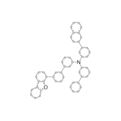 c1ccc(-c2cccc(N(c3cccc(-c4cccc(-c5cccc6c5oc5ccccc56)c4)c3)c3cccc(-c4ccc5ccccc5c4)c3)c2)cc1